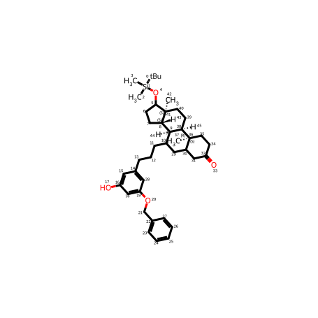 CC(C)(C)[Si](C)(C)OC1CC[C@H]2[C@@H]3C(CCCc4cc(O)cc(OCc5ccccc5)c4)CC4CC(=O)CC[C@]4(C)[C@@H]3CC[C@]12C